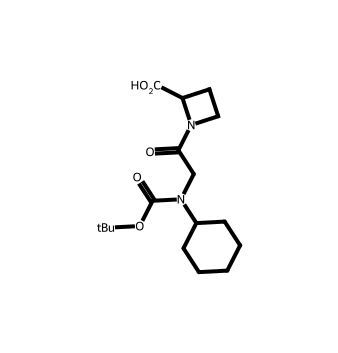 CC(C)(C)OC(=O)N(CC(=O)N1CCC1C(=O)O)C1CCCCC1